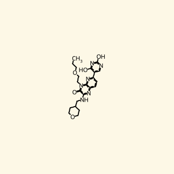 CCCOCCn1c(=O)c(NCC2CCOCC2)nc2ccc(-c3cnc(O)nc3O)nc21